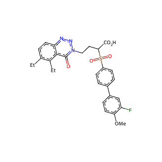 CCc1ccc2nnn(CCC(C(=O)O)S(=O)(=O)c3ccc(-c4ccc(OC)c(F)c4)cc3)c(=O)c2c1CC